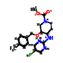 CC(C)(C)OC(=O)N1CCC(Nc2ncc(F)cn2)C(OCc2ccc(C(F)(F)F)cc2)C1